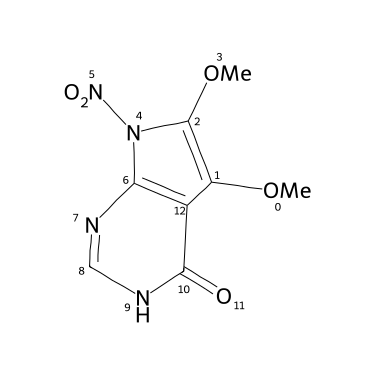 COc1c(OC)n([N+](=O)[O-])c2nc[nH]c(=O)c12